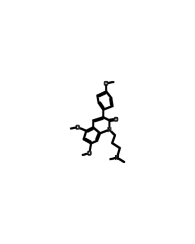 COc1ccc(-c2cc3c(OC)cc(OC)cc3n(CCCN(C)C)c2=O)cc1